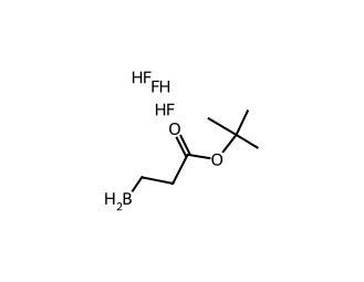 BCCC(=O)OC(C)(C)C.F.F.F